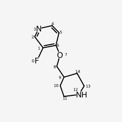 Fc1cnccc1OCC1CCNCC1